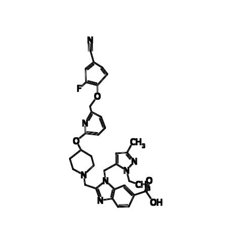 CCn1nc(C)cc1Cn1c(CN2CCC(Oc3cccc(COc4ccc(C#N)cc4F)n3)CC2)nc2ccc(C(=O)O)cc21